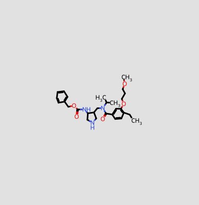 CCc1ccc(C(=O)N(CC2CNCC2NC(=O)OCc2ccccc2)C(C)C)cc1OCCCOC